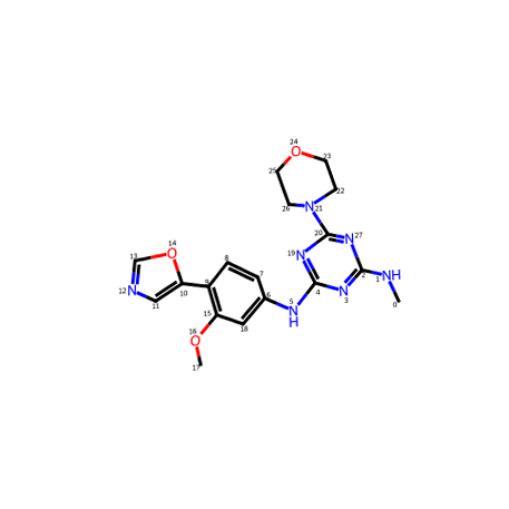 CNc1nc(Nc2ccc(-c3cnco3)c(OC)c2)nc(N2CCOCC2)n1